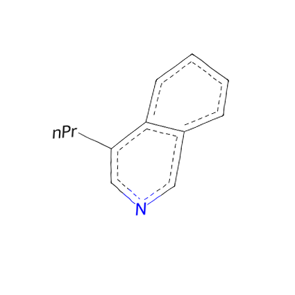 CCCc1cncc2ccccc12